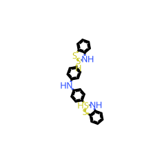 c1ccc2c(c1)N[SH](c1ccc(Nc3ccc([SH]4Nc5ccccc5S4)cc3)cc1)S2